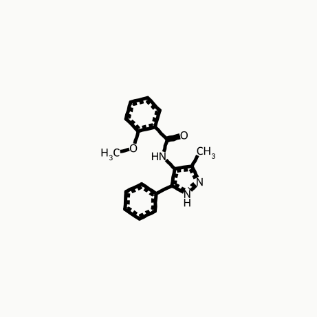 COc1ccccc1C(=O)Nc1c(C)n[nH]c1-c1ccccc1